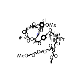 C=CCOC(=O)CCN(CCC(=O)N[C@H](C(=O)N[C@@H](C)C(=O)NCc1ccc([C@H]2O[C@@H]2[C@@H](C)[C@@H]2C/C=C/C(=O)N[C@@H](Cc3ccc(OC)c(Cl)c3)C(=O)NCC(C)(C)C(=O)O[C@@H](CC(C)C)C(=O)O2)cc1)C(C)C)C(=O)CCOCCOCCOCCOC